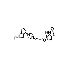 O=c1ccc2ccc(OCCCCN3CCN(c4cccc5cc(F)ccc45)CC3)nc2[nH]1